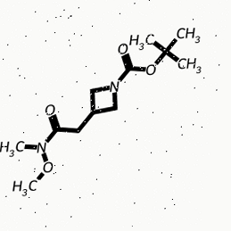 CON(C)C(=O)CC1CN(C(=O)OC(C)(C)C)C1